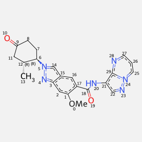 COc1cc2nn([C@@H]3CCC(=O)C[C@H]3C)cc2cc1C(=O)Nc1cnn2cccnc12